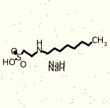 CCCCCCCCNCCS(=O)(=O)O.[NaH].[NaH]